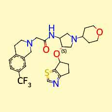 O=C(CN1CCc2ccc(C(F)(F)F)cc2C1)NC1CN(C2CCOCC2)C[C@@H]1OC1CCc2ncsc21